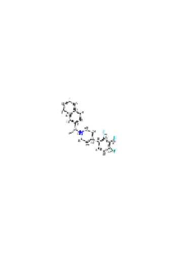 CC(c1ccc2ccccc2c1)N1CC=C(c2ccc(F)c(F)c2F)CC1